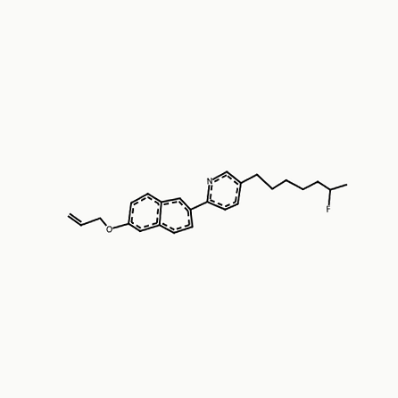 C=CCOc1ccc2cc(-c3ccc(CCCCCC(C)F)cn3)ccc2c1